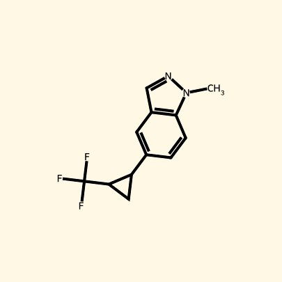 Cn1ncc2cc(C3CC3C(F)(F)F)ccc21